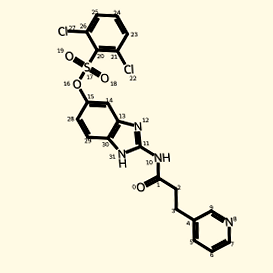 O=C(CCc1cccnc1)Nc1nc2cc(OS(=O)(=O)c3c(Cl)cccc3Cl)ccc2[nH]1